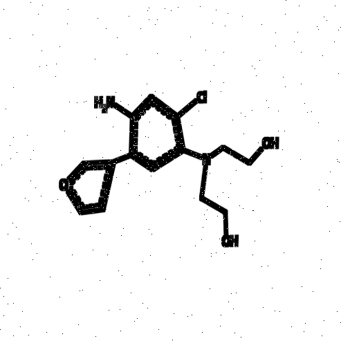 Nc1cc(Cl)c(N(CCO)CCO)cc1-c1ccoc1